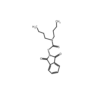 CCCCN(CCCC)C(=S)SN1C(=O)c2ccccc2C1=O